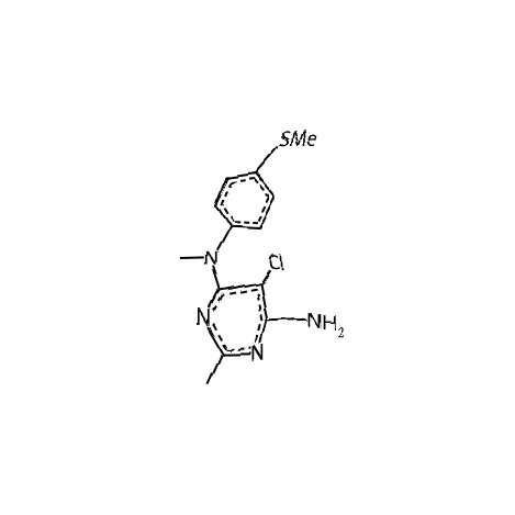 CSc1ccc(N(C)c2nc(C)nc(N)c2Cl)cc1